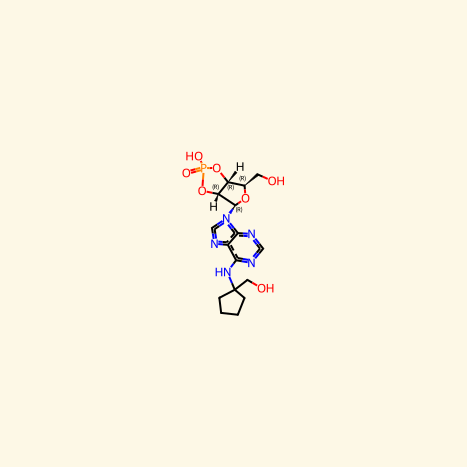 O=P1(O)O[C@@H]2[C@H](O1)[C@@H](CO)O[C@H]2n1cnc2c(NC3(CO)CCCC3)ncnc21